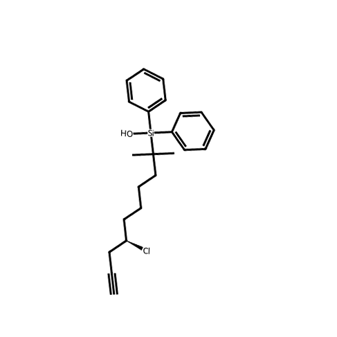 C#CC[C@H](Cl)CCCCC(C)(C)[Si](O)(c1ccccc1)c1ccccc1